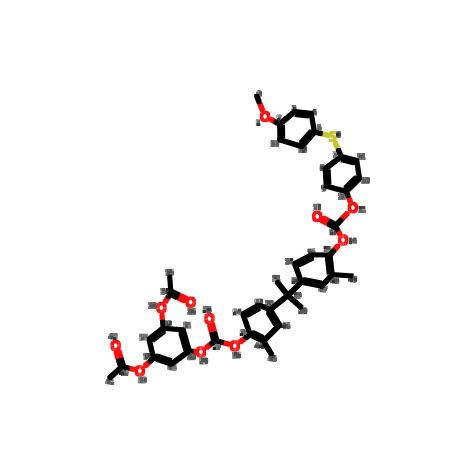 COc1ccc(Sc2ccc(OC(=O)Oc3ccc(C(C)(C)c4ccc(OC(=O)Oc5cc(OC(C)=O)cc(OC(C)=O)c5)c(C)c4)cc3C)cc2)cc1